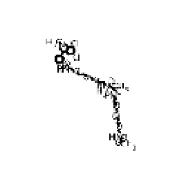 CN1Cc2c(Cl)cc(Cl)cc2C(c2cccc(S(=O)(=O)NCCOCCOCCOCCNC(=O)C(C)(C)C(=O)NCCOCCOCCOCCNS(C)(=O)=O)c2)C1